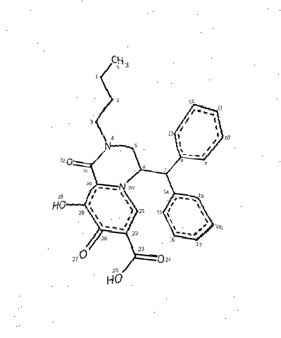 CCCCN1CC(C(c2ccccc2)c2ccccc2)n2cc(C(=O)O)c(=O)c(O)c2C1=O